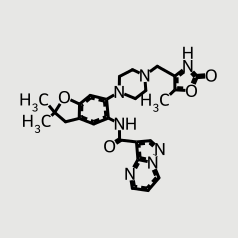 Cc1oc(=O)[nH]c1CN1CCN(c2cc3c(cc2NC(=O)c2cnn4cccnc24)CC(C)(C)O3)CC1